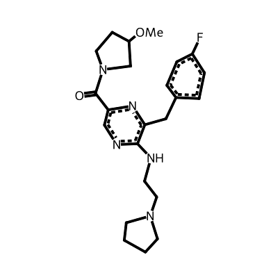 COC1CCN(C(=O)c2cnc(NCCN3CCCC3)c(Cc3ccc(F)cc3)n2)C1